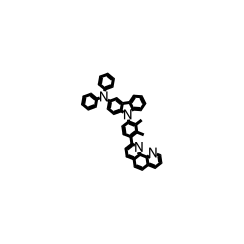 Cc1c(-c2ccc3ccc4cccnc4c3n2)ccc(-n2c3ccccc3c3cc(N(c4ccccc4)c4ccccc4)ccc32)c1C